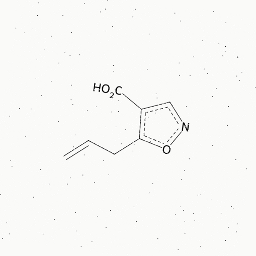 C=CCc1oncc1C(=O)O